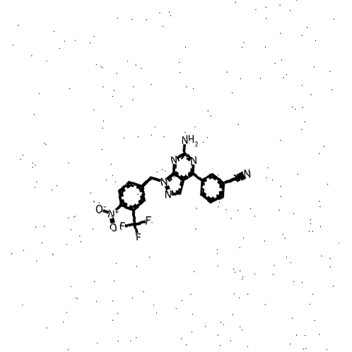 N#Cc1cccc(-c2nc(N)nc3c2cnn3Cc2ccc([N+](=O)[O-])c(C(F)(F)F)c2)c1